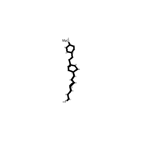 COC1CCC(CCC2=CCC(CC/C=C/CCCF)CC2)CC1